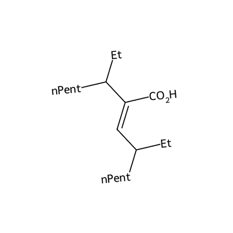 CCCCCC(/C=C(\C(=O)O)C(CC)CCCCC)CC